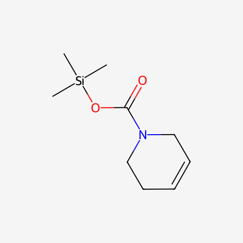 C[Si](C)(C)OC(=O)N1CC=CCC1